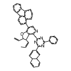 C=CC1Oc2c(-c3ccc4c5c(cccc35)-c3ccccc3-4)cnc(-c3nc(C4=CC5C=CC=CC5C=C4)nc(-c4ccccc4)n3)c2C1/C=C\C